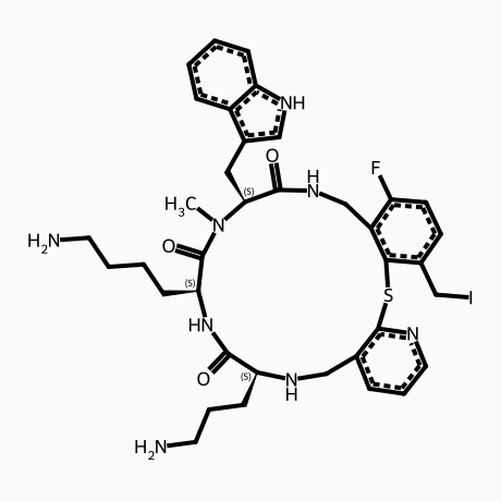 CN1C(=O)[C@H](CCCCN)NC(=O)[C@H](CCCN)NCc2cccnc2Sc2c(CI)ccc(F)c2CNC(=O)[C@@H]1Cc1c[nH]c2ccccc12